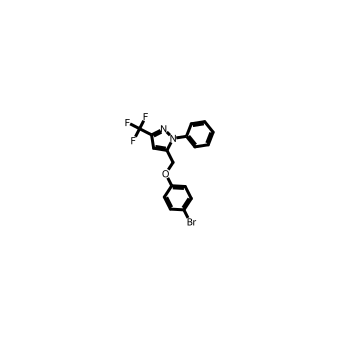 FC(F)(F)c1cc(COc2ccc(Br)cc2)n(-c2ccccc2)n1